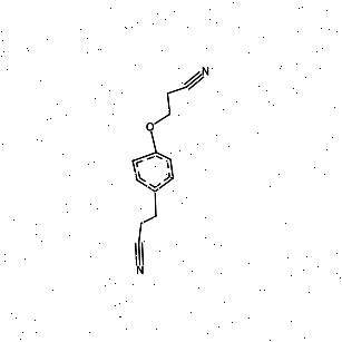 N#CCCOc1ccc(CCC#N)cc1